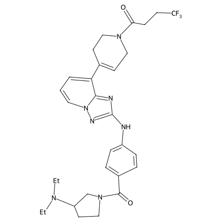 CCN(CC)C1CCN(C(=O)c2ccc(Nc3nc4c(C5=CCN(C(=O)CCC(F)(F)F)CC5)cccn4n3)cc2)C1